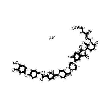 N#Cc1ccc(OC2CCC(NC(=O)c3ccc(N4CCC(CN5CCN(c6cc7c(cc6F)C(=O)N(C6CCC(=O)N(COC(=O)CCC(=O)[O-])C6=O)C7=O)CC5)CC4)nn3)CC2)cc1Cl.[Na+]